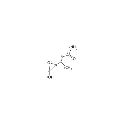 CC(CC(N)=O)C1OC1O